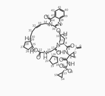 C=C[C@@H]1C[C@]1(NC(=O)[C@@H]1C[C@@H]2CN1C(=O)[C@H](C1CCCC1)NC(=O)O[C@@H]1CCC[C@H]1CCC=CCn1c(nc3ccccc3c1=O)O2)C(=O)NS(=O)(=O)C1CC1